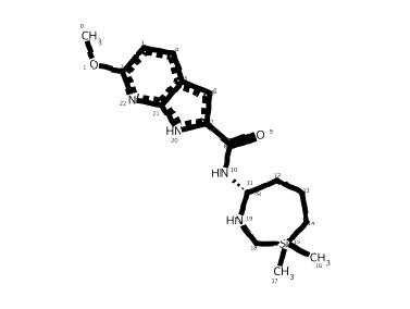 COc1ccc2cc(C(=O)N[C@@H]3CCC[Si](C)(C)CN3)[nH]c2n1